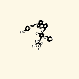 O=C(O)C(CO)NCc1cc(Cl)c(OCc2cccc(-c3cccc4c3ccn4CCCN3CCC(O)CC3)c2Br)cc1OCc1cccnc1